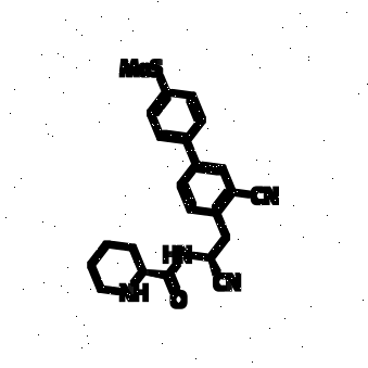 CSc1ccc(-c2ccc(C[C@@H](C#N)NC(=O)[C@@H]3CCCCN3)c(C#N)c2)cc1